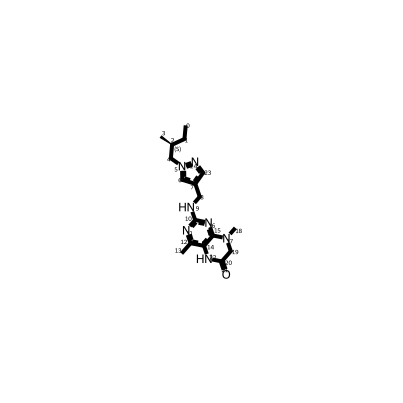 CC[C@H](C)Cn1cc(CNc2nc(C)c3c(n2)N(C)CC(=O)N3)cn1